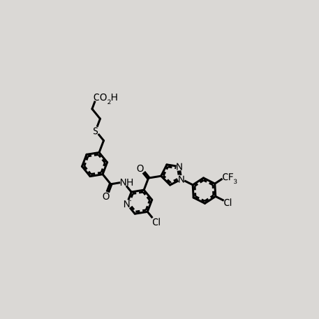 O=C(O)CCSCc1cccc(C(=O)Nc2ncc(Cl)cc2C(=O)c2cnn(-c3ccc(Cl)c(C(F)(F)F)c3)c2)c1